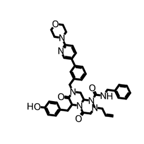 C=CCN1CC(=O)N2C(Cc3ccc(O)cc3)C(=O)N(Cc3cccc(-c4ccc(N5CCOCC5)nc4)c3)CC2N1C(=O)NCc1ccccc1